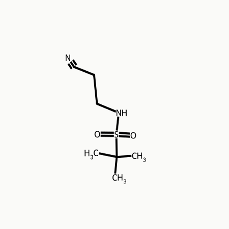 CC(C)(C)S(=O)(=O)NCCC#N